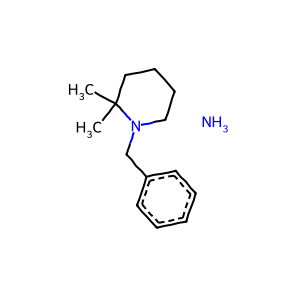 CC1(C)CCCCN1Cc1ccccc1.N